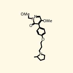 COCn1ncc(OC)c(-c2ccc(OCCCN3CCCC3C)cc2)c1=O